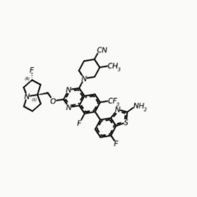 CC1CN(c2nc(OC[C@@]34CCCN3C[C@H](F)C4)nc3c(F)c(-c4ccc(F)c5sc(N)nc45)c(C(F)(F)F)cc23)CCC1C#N